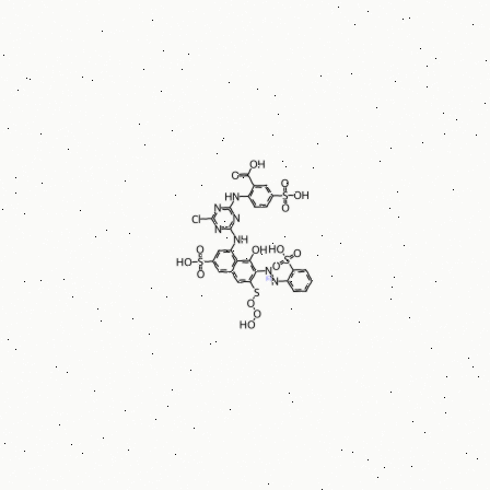 O=C(O)c1cc(S(=O)(=O)O)ccc1Nc1nc(Cl)nc(Nc2cc(S(=O)(=O)O)cc3cc(SOOO)c(/N=N/c4ccccc4S(=O)(=O)O)c(O)c23)n1